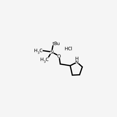 CC(C)(C)[Si](C)(C)OCC1CCCN1.Cl